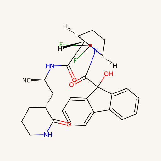 N#C[C@H](C[C@H]1CCCNC1=O)NC(=O)[C@@H]1[C@H]2CC[C@H](CC2(F)F)N1C(=O)C1(O)c2ccccc2-c2ccccc21